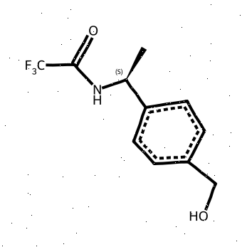 C[C@H](NC(=O)C(F)(F)F)c1ccc(CO)cc1